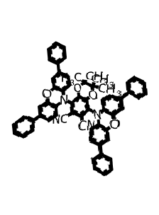 CC1(C)Oc2c(c(N3c4ccc(-c5ccccc5)cc4Oc4cc(-c5ccccc5)ccc43)c(C#N)c(C#N)c2N2c3ccc(-c4ccccc4)cc3Oc3cc(-c4ccccc4)ccc32)OC1(C)C